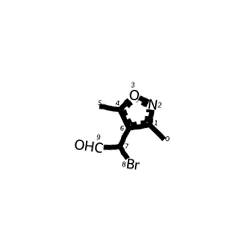 Cc1noc(C)c1C(Br)C=O